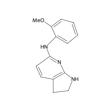 COc1ccccc1Nc1ccc2c(n1)NCC2